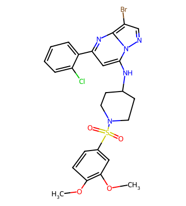 COc1ccc(S(=O)(=O)N2CCC(Nc3cc(-c4ccccc4Cl)nc4c(Br)cnn34)CC2)cc1OC